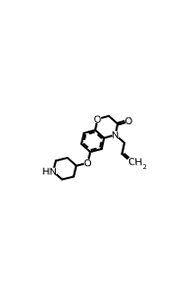 C=CCN1C(=O)COc2ccc(OC3CCNCC3)cc21